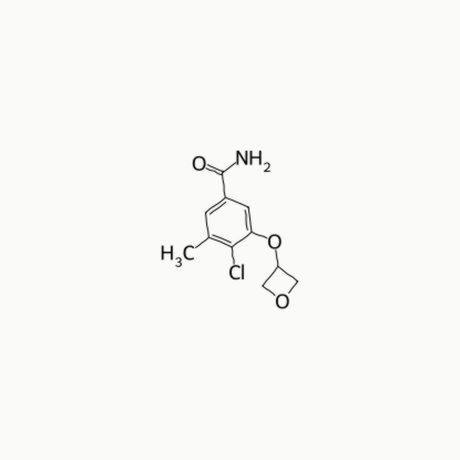 Cc1cc(C(N)=O)cc(OC2COC2)c1Cl